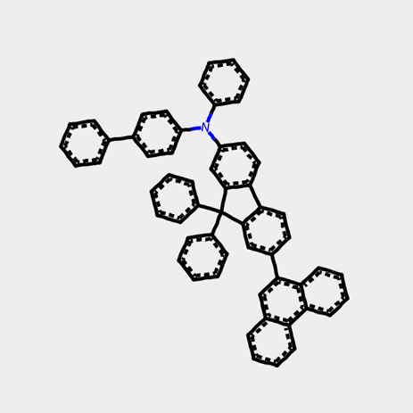 c1ccc(-c2ccc(N(c3ccccc3)c3ccc4c(c3)C(c3ccccc3)(c3ccccc3)c3cc(-c5cc6ccccc6c6ccccc56)ccc3-4)cc2)cc1